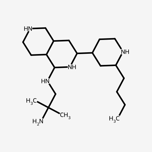 CCCCC1CC(C2CC3CNCCC3C(NCC(C)(C)N)N2)CCN1